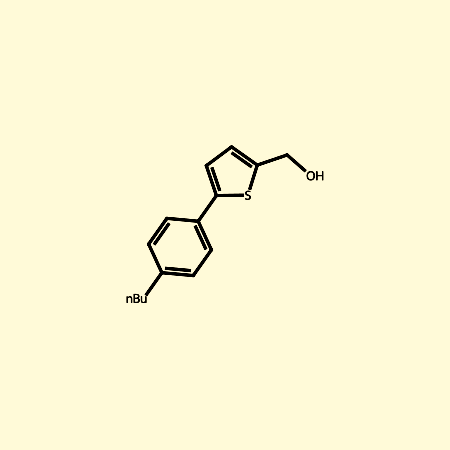 CCCCc1ccc(-c2ccc(CO)s2)cc1